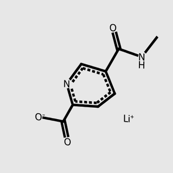 CNC(=O)c1ccc(C(=O)[O-])nc1.[Li+]